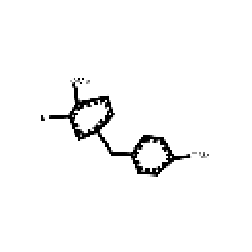 COc1ccc(Cc2ccc(OC)c(Br)c2)cc1